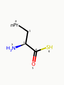 CCCC[C@H](N)C(=O)S